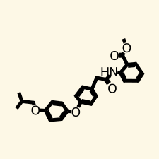 COC(=O)c1ccccc1NC(=O)Cc1ccc(Oc2ccc(OCC(C)C)cc2)cc1